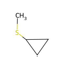 CSC1[CH]C1